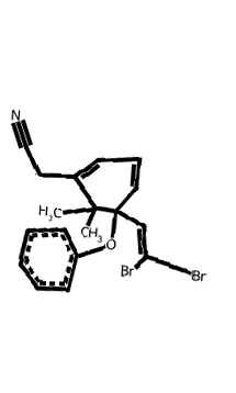 CC1(C)C([CH]C#N)=CC=CC1(C=C(Br)Br)Oc1ccccc1